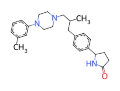 Cc1cccc(N2CCN(CC(C)Cc3ccc(C4CCC(=O)N4)cc3)CC2)c1